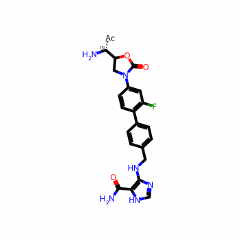 CC(=O)[C@@H](N)C1CN(c2ccc(-c3ccc(CNc4nc[nH]c4C(N)=O)cc3)c(F)c2)C(=O)O1